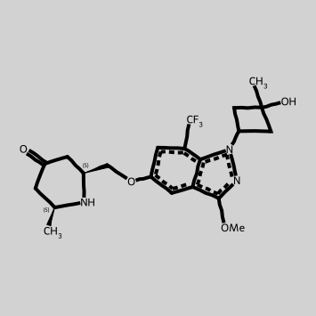 COc1nn(C2CC(C)(O)C2)c2c(C(F)(F)F)cc(OC[C@@H]3CC(=O)C[C@H](C)N3)cc12